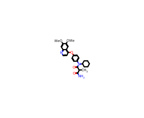 COc1cc2nccc(Oc3ccc(N(C(=O)C(C)C(N)=O)C4CCCCC4)cc3)c2cc1OC